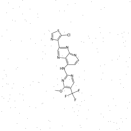 COc1nc(Nc2ccnc3nc(-c4ncsc4Cl)cnc23)ncc1C(F)(F)F